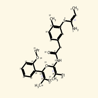 C/C=C(/N)Sc1cc(CC(=O)N/C(O/C(=C(/C)CC)c2ccccc2OCCC)=C(/C)CC)ccc1C